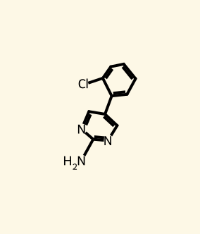 Nc1ncc(-c2ccccc2Cl)cn1